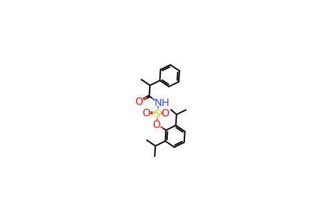 CC(C)c1cccc(C(C)C)c1OS(=O)(=O)NC(=O)C(C)c1ccccc1